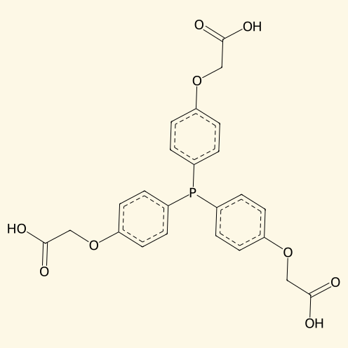 O=C(O)COc1ccc(P(c2ccc(OCC(=O)O)cc2)c2ccc(OCC(=O)O)cc2)cc1